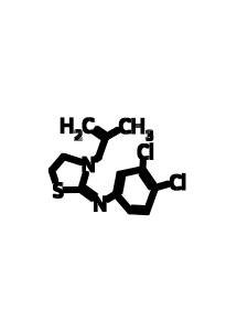 C=C(C)CN1CCSC1=Nc1ccc(Cl)c(Cl)c1